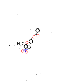 Cc1cc([N+](=O)[O-])c2c(c1Oc1cccc(COCC(=O)c3ccccc3)c1)CCC2